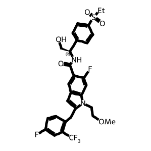 CCS(=O)(=O)c1ccc([C@H](CO)NC(=O)c2cc3cc(Cc4ccc(F)cc4C(F)(F)F)n(CCOC)c3cc2F)cc1